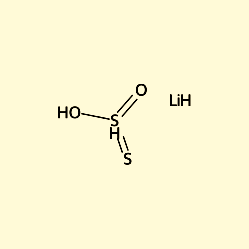 O=[SH](O)=S.[LiH]